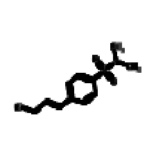 CN(C)S(=O)(=O)c1ccc(C=CCCl)cc1